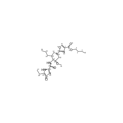 CCCCOC(=O)c1coc(N2CC(CCC)C(NC(=O)c3nc(Cl)c(CC)[nH]3)C(OC)C2)n1